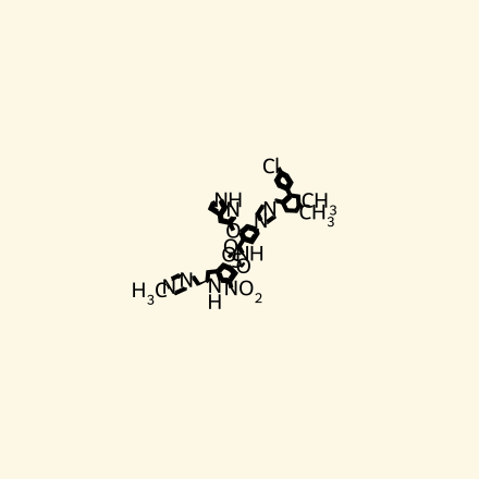 CN1CCN(CC[C@H]2Cc3cc(S(=O)(=O)NC(=O)c4ccc(N5CCN(CC6=C(c7ccc(Cl)cc7)CC(C)(C)CC6)CC5)cc4Oc4cnc5[nH]ccc5c4)cc([N+](=O)[O-])c3N2)CC1